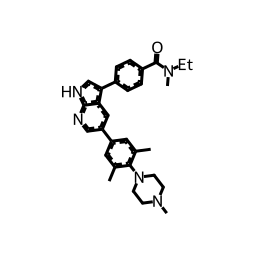 CCN(C)C(=O)c1ccc(-c2c[nH]c3ncc(-c4cc(C)c(N5CCN(C)CC5)c(C)c4)cc23)cc1